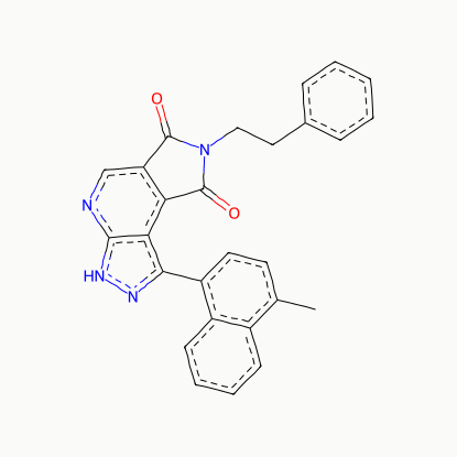 Cc1ccc(-c2n[nH]c3ncc4c(c23)C(=O)N(CCc2ccccc2)C4=O)c2ccccc12